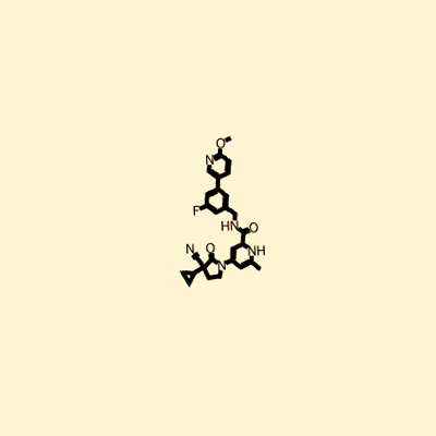 COc1ccc(-c2cc(F)cc(CNC(=O)C3C=C(N4CCC(C#N)(C5CC5)C4=O)C=C(C)N3)c2)cn1